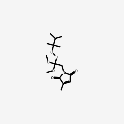 COC(CN1C(=O)C=C(C)C1=O)(OC)OOC(C)(C)C(C)C